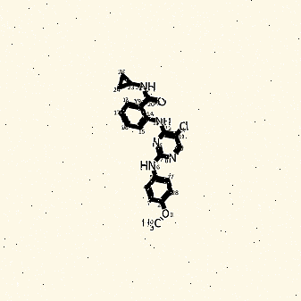 COc1ccc(Nc2ncc(Cl)c(Nc3ccccc3C(=O)NC3CC3)n2)cc1